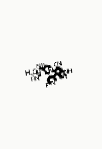 CN(C=N)C(=N)C1CCN(c2c(C#N)cc3[nH]ncc3c2-c2ccc(F)nc2)CC1